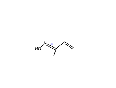 C=C/C(C)=N/O